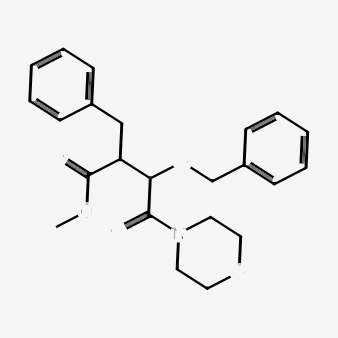 COC(=O)C(Cc1ccccc1)C(OCc1ccccc1)C(=O)N1CCOCC1